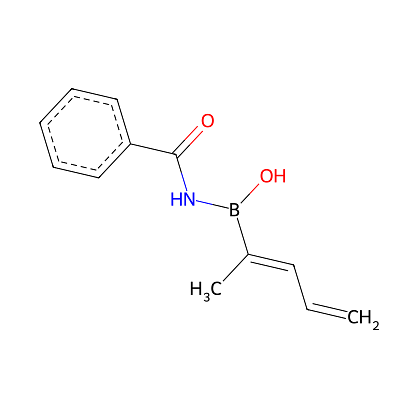 C=C/C=C(\C)B(O)NC(=O)c1ccccc1